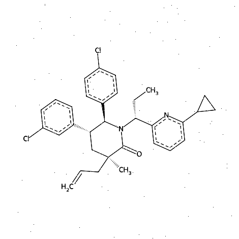 C=CC[C@@]1(C)C[C@H](c2cccc(Cl)c2)[C@@H](c2ccc(Cl)cc2)N([C@H](CC)c2cccc(C3CC3)n2)C1=O